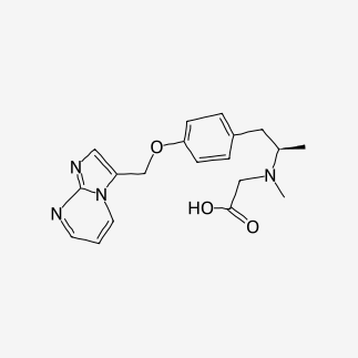 C[C@H](Cc1ccc(OCc2cnc3ncccn23)cc1)N(C)CC(=O)O